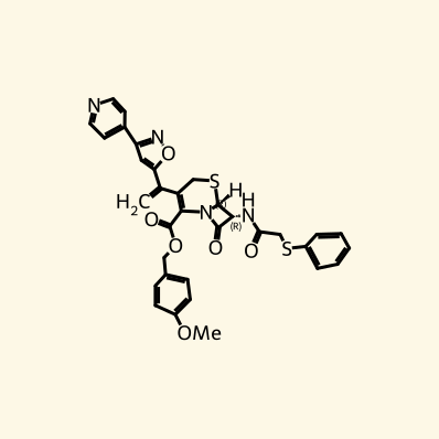 C=C(C1=C(C(=O)OCc2ccc(OC)cc2)N2C(=O)[C@@H](NC(=O)CSc3ccccc3)[C@H]2SC1)c1cc(-c2ccncc2)no1